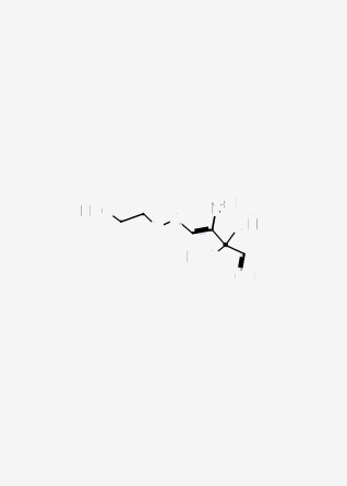 C=CC(C)(C)/C(=C/SSCCC)N=C